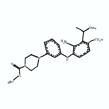 COC(C)c1c(C(=O)O)ccc(Nc2cccc(N3CCN(C(=O)OC(C)(C)C)CC3)c2)c1N